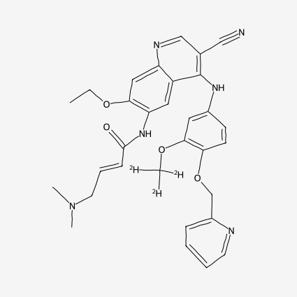 [2H]C([2H])([2H])Oc1cc(Nc2c(C#N)cnc3cc(OCC)c(NC(=O)/C=C/CN(C)C)cc23)ccc1OCc1ccccn1